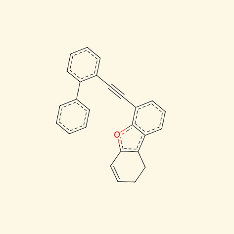 C(#Cc1cccc2c3c(oc12)C=CCC3)c1ccccc1-c1ccccc1